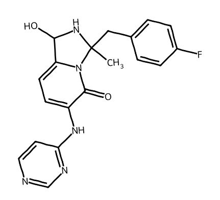 CC1(Cc2ccc(F)cc2)NC(O)c2ccc(Nc3ccncn3)c(=O)n21